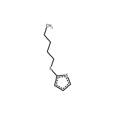 CCCCCSc1cccs1